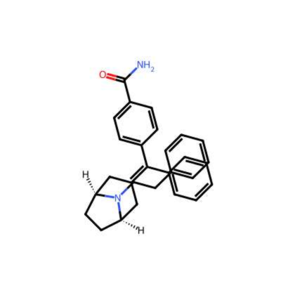 NC(=O)c1ccc(C(=C2C[C@H]3CC[C@@H](C2)N3CCc2ccccc2)c2ccccc2)cc1